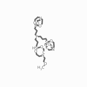 COCCN1CCO[SiH](CCCP(CCC[Si]23OCCN(CCO2)CCO3)CCC[Si]23OCCN(CCO2)CCO3)OCC1